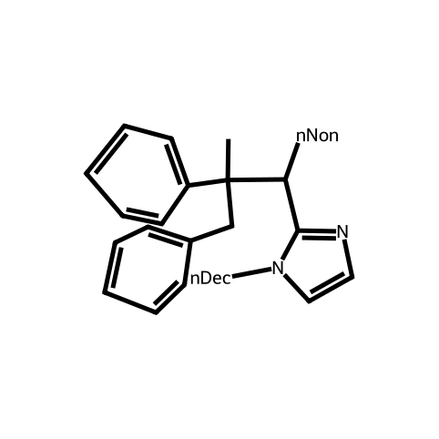 CCCCCCCCCCn1ccnc1C(CCCCCCCCC)C(C)(Cc1ccccc1)c1ccccc1